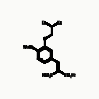 CCOC(=O)C(=Cc1ccc(OC)c(OCC(CC)CC)c1)C(=O)OCC